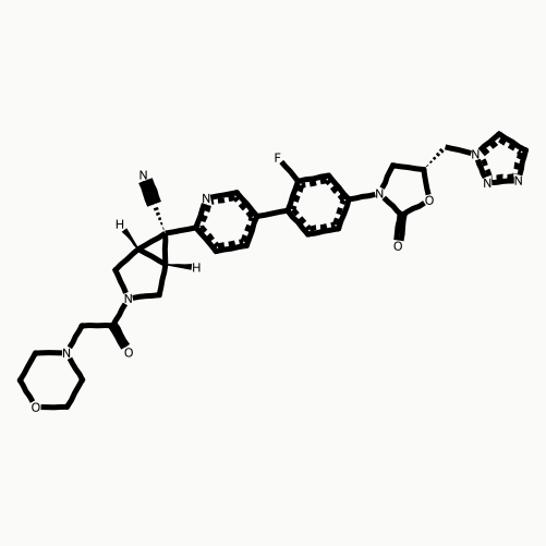 N#C[C@]1(c2ccc(-c3ccc(N4C[C@H](Cn5ccnn5)OC4=O)cc3F)cn2)[C@@H]2CN(C(=O)CN3CCOCC3)C[C@@H]21